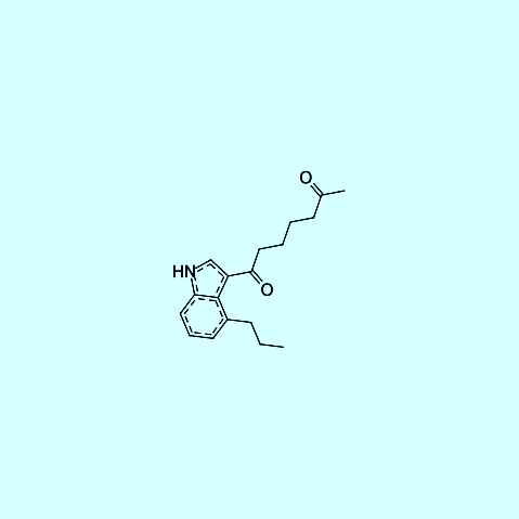 CCCc1cccc2[nH]cc(C(=O)CCCCC(C)=O)c12